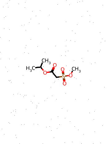 COS(=O)(=O)CC(=O)OC(C)C